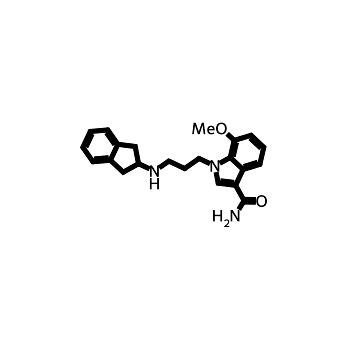 COc1cccc2c(C(N)=O)cn(CCCNC3Cc4ccccc4C3)c12